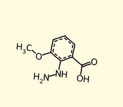 COc1cccc(C(=O)O)c1NN